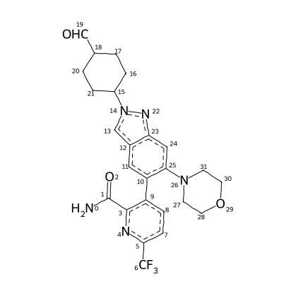 NC(=O)c1nc(C(F)(F)F)ccc1-c1cc2cn(C3CCC(C=O)CC3)nc2cc1N1CCOCC1